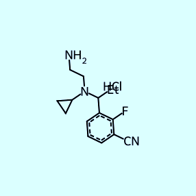 CCC(c1cccc(C#N)c1F)N(CCN)C1CC1.Cl